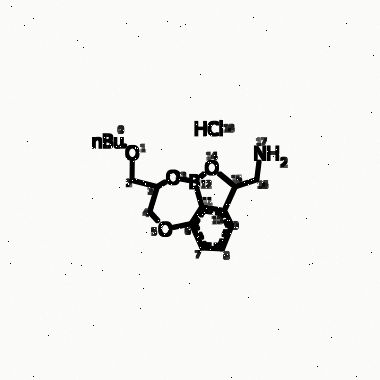 CCCCOCC1COc2cccc3c2B(O1)OC3CN.Cl